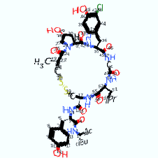 CCC(C)[C@H](NC(=O)[C@H](Cc1ccc(O)cc1)NC(=O)[C@@H]1CSSC[C@H](C)C(=O)N2C[C@H](O)C[C@H]2C(=O)N[C@@H](Cc2ccc(O)c(Cl)c2)C(=O)NCC(=O)N[C@@H](CC(C)C)C(=O)N1)C(C)=O